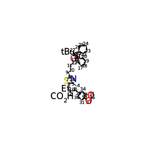 CCC(C(=O)O)[C@H](Cc1csc(CCCCO[Si](c2ccccc2)(c2ccccc2)C(C)(C)C)n1)c1ccc2c(c1)OCO2